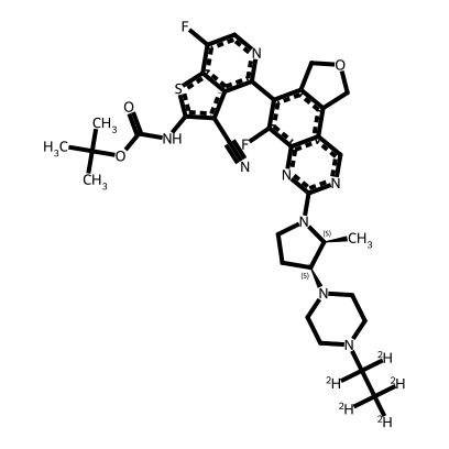 [2H]C([2H])([2H])C([2H])([2H])N1CCN([C@H]2CCN(c3ncc4c5c(c(-c6ncc(F)c7sc(NC(=O)OC(C)(C)C)c(C#N)c67)c(F)c4n3)COC5)[C@H]2C)CC1